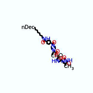 CCCCCCCCCCCCCCCCCCNC(=O)c1ccc(C(=O)N2CCN(C(CC=O)C(=O)OC[C@@H]3CNC[C@H](n4cc(C)c(=O)[nH]c4=O)O3)CC2)cc1